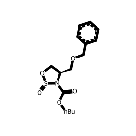 CCCCOC(=O)N1[C@H](COCc2ccccc2)COS1=O